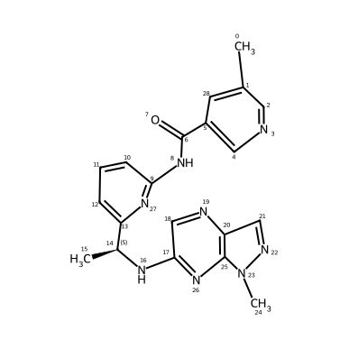 Cc1cncc(C(=O)Nc2cccc([C@H](C)Nc3cnc4cnn(C)c4n3)n2)c1